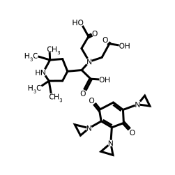 CC1(C)CC(C(C(=O)O)N(CC(=O)O)CC(=O)O)CC(C)(C)N1.O=C1C=C(N2CC2)C(=O)C(N2CC2)=C1N1CC1